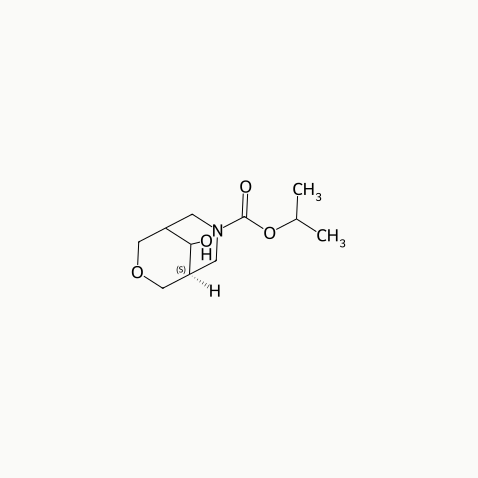 CC(C)OC(=O)N1CC2COC[C@H](C1)C2O